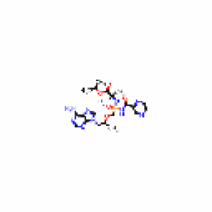 CC(C)OC(=O)C(C)(C)NP(=O)(COC(C)Cn1cnc2c(N)ncnc21)NC(=O)c1cnccn1